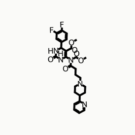 COC(=O)C1=C(N(C(=O)CCCN2CCC(c3ccccn3)CC2)C(=O)OC)NC(=O)NC1c1ccc(F)c(F)c1